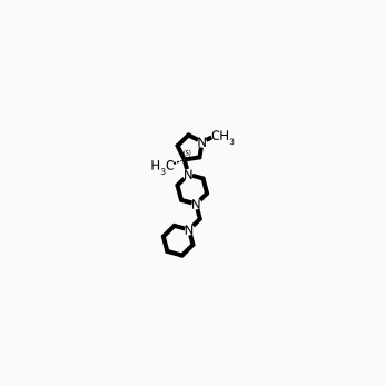 CN1CC[C@](C)(N2CCN(CN3CCCCC3)CC2)C1